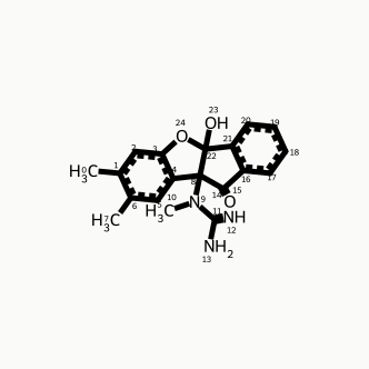 Cc1cc2c(cc1C)C1(N(C)C(=N)N)C(=O)c3ccccc3C1(O)O2